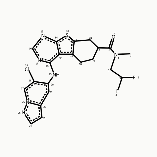 CN(CC(F)F)C(=O)C1CCc2c(sc3ncnc(Nc4cc5ccnn5cc4Cl)c23)C1